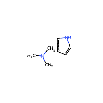 CN(C)C.c1cc[nH]c1